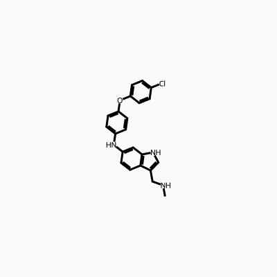 CNCc1c[nH]c2cc(Nc3ccc(Oc4ccc(Cl)cc4)cc3)ccc12